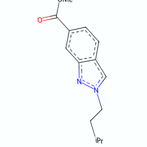 COC(=O)c1ccc2cn(CCC(C)C)nc2c1